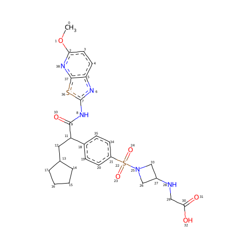 COc1ccc2nc(NC(=O)C(CC3CCCC3)c3ccc(S(=O)(=O)N4CC(NCC(=O)O)C4)cc3)sc2n1